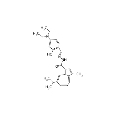 CCN(CC)c1ccc(/C=N/NC(=O)c2cc(C)c3cccc(C(C)C)cc2-3)c(O)c1